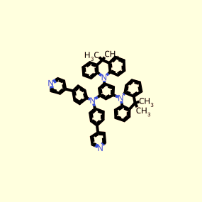 CC1(C)c2ccccc2N(c2cc(N(c3ccc(-c4ccncc4)cc3)c3ccc(-c4ccncc4)cc3)cc(N3c4ccccc4C(C)(C)c4ccccc43)c2)c2ccccc21